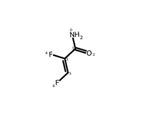 NC(=O)C(F)=CF